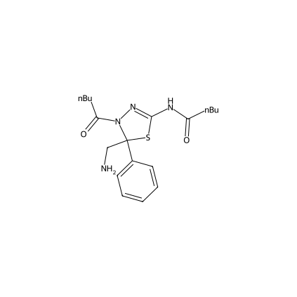 CCCCC(=O)NC1=NN(C(=O)CCCC)C(CN)(c2ccccc2)S1